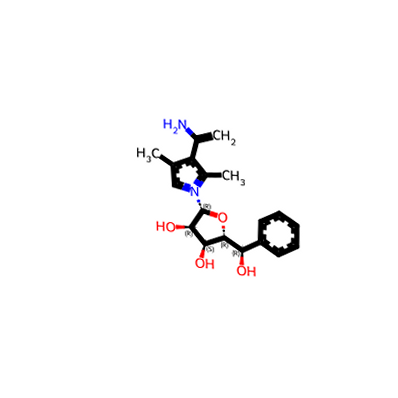 C=C(N)c1c(C)cn([C@@H]2O[C@H]([C@H](O)c3ccccc3)[C@@H](O)[C@H]2O)c1C